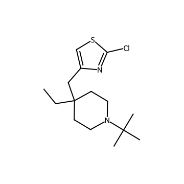 CCC1(Cc2csc(Cl)n2)CCN(C(C)(C)C)CC1